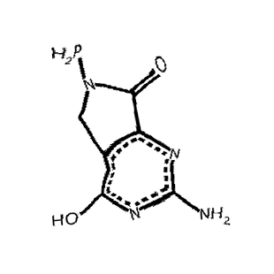 Nc1nc(O)c2c(n1)C(=O)N(P)C2